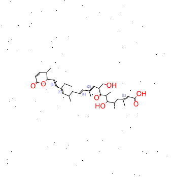 CCC(/C=C/C1OC(=O)C=CC1C)=C\C(C)C/C=C/C(C)=C/C(CO)C(=O)C(C)C(O)C(C)C/C(C)=C/C(=O)O